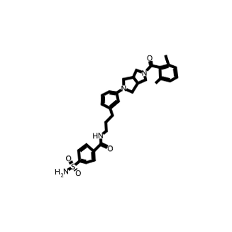 Cc1cccc(C)c1C(=O)N1CC2CN(c3cccc(CCCNC(=O)c4ccc(S(N)(=O)=O)cc4)c3)CC2C1